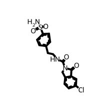 NS(=O)(=O)c1ccc(CCNC(=O)N2Cc3ccc(Cl)cc3C2=O)cc1